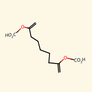 C=C(CCCCCC(=C)OC(=O)O)OC(=O)O